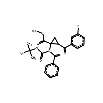 COC(=O)C1(N(C(=O)OC(C)(C)C)C(=O)c2ccccc2)CC1C(=O)c1cccc(F)c1